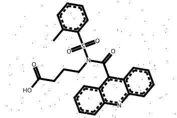 Cc1ccccc1S(=O)(=O)N(CCCC(=O)O)C(=O)c1c2ccccc2nc2ccccc12